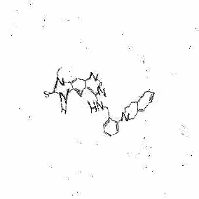 CCn1c(=S)[nH]c2cc3c(NCc4ccccc4N4CCc5ccccc5C4)ncnc3cc21